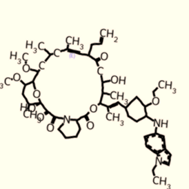 C=CCC1/C=C(\C)CC(C)CC(OC)C2OC(O)(C(=O)C(=O)N3CCCCC3C(=O)OC(C(C)=CC3CCC(Nc4ccc5c(ccn5CC)c4)C(OCC)C3)C(C)C(O)CC1=O)C(C)CC2OC